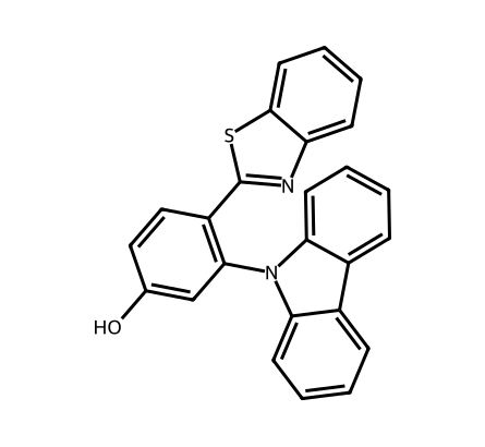 Oc1ccc(-c2nc3ccccc3s2)c(-n2c3ccccc3c3ccccc32)c1